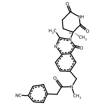 Cc1nc2ccc(CN(C)C(=O)Cc3ccc(C#N)cc3)cc2c(=O)n1[C@@]1(C)CCC(=O)NC1=O